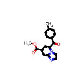 COC(=O)c1cc(C(=O)c2ccc(C)cc2)n2ccnc2c1